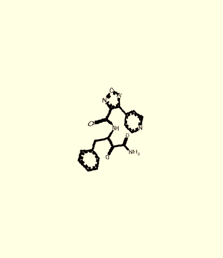 NC(=O)C(=O)C(Cc1ccccc1)NC(=O)c1nonc1-c1ccncc1